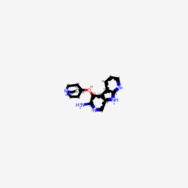 Nc1ncc2[nH]c3ncccc3c2c1OC12CCN(CC1)CC2